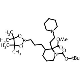 COC(=O)C1(CCN2CCCCC2)C(CCCB2OC(C)(C)C(C)(C)O2)CCCN1C(=O)OC(C)(C)C